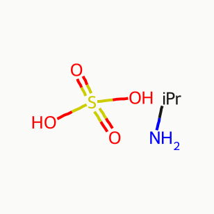 CC(C)N.O=S(=O)(O)O